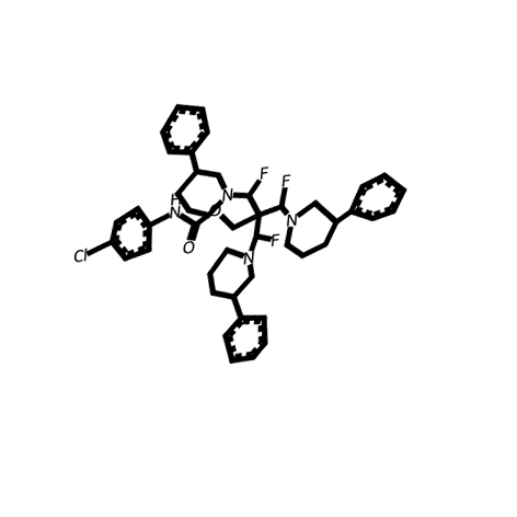 O=C(Nc1ccc(Cl)cc1)OCC(C(F)N1CCCC(c2ccccc2)C1)(C(F)N1CCCC(c2ccccc2)C1)C(F)N1CCCC(c2ccccc2)C1